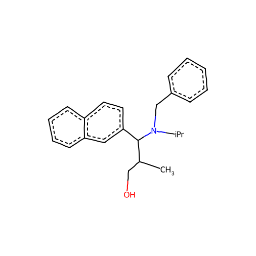 CC(CO)C(c1ccc2ccccc2c1)N(Cc1ccccc1)C(C)C